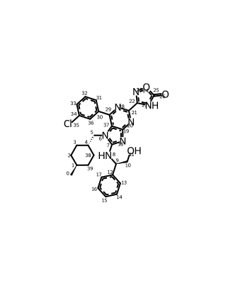 C[C@H]1CC[C@H](Cn2c(N[C@@H](CO)c3ccccc3)nc3nc(-c4noc(=O)[nH]4)nc(-c4cccc(Cl)c4)c32)CC1